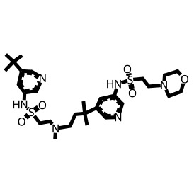 CN(CCC(C)(C)c1cncc(NS(=O)(=O)CCN2CCOCC2)c1)CCS(=O)(=O)Nc1cncc(C(C)(C)C)c1